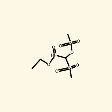 CCO[PH](=O)C(OS(C)(=O)=O)S(C)(=O)=O